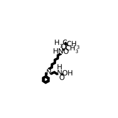 CC(C)(C)OC(=O)NCCCCCCCCN(CCCNC(=O)O)Cc1ccccc1